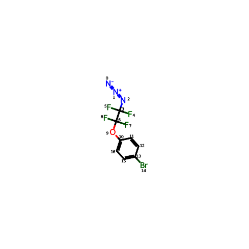 [N-]=[N+]=NC(F)(F)C(F)(F)Oc1ccc(Br)cc1